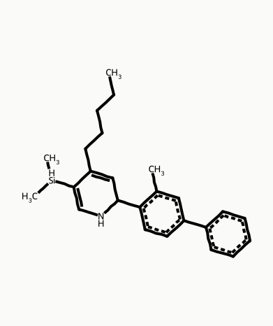 CCCCCC1=CC(c2ccc(-c3ccccc3)cc2C)NC=C1[SiH](C)C